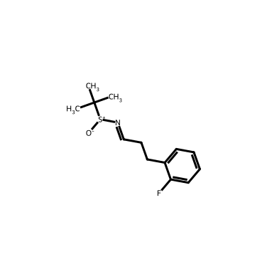 CC(C)(C)[S+]([O-])/N=C/CCc1ccccc1F